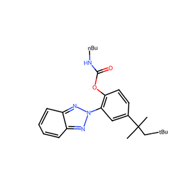 CCCCNC(=O)Oc1ccc(C(C)(C)CC(C)(C)C)cc1-n1nc2ccccc2n1